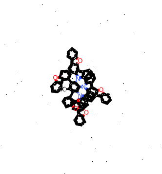 N#Cc1c(-c2cccc3oc4ccccc4c23)c(-n2c3ccccc3c3c4oc5ccccc5c4ccc32)c(-n2c3ccccc3c3c4oc5ccccc5c4ccc32)c(-n2c3ccccc3c3c4oc5ccccc5c4ccc32)c1-c1cccc2oc3ccccc3c12